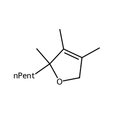 CCCCCC1(C)OCC(C)=C1C